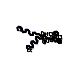 CC/C=C\C/C=C\C/C=C\C/C=C\C/C=C\CCCC(O)OCC(COC(=O)Cc1ccccc1Nc1c(Cl)cccc1Cl)OC1OC1CCC/C=C\C/C=C\C/C=C\C/C=C\C/C=C\CC